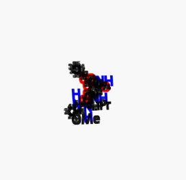 COc1cccc2[nH]c(C(=O)N[C@@H](CC(C)C)C(=O)N[C@@H](C[C@@H]3CCNC3=O)C(=O)COC(=O)OCc3ccccc3)cc12